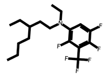 CCCCC(CC)CCN(CC)c1cc(F)c(F)c(C(F)(F)F)c1F